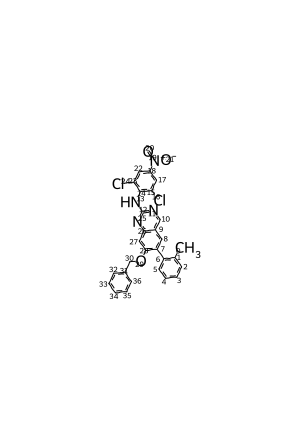 Cc1ccccc1-c1cc2cnc(Nc3c(Cl)cc([N+](=O)[O-])cc3Cl)nc2cc1OCc1ccccc1